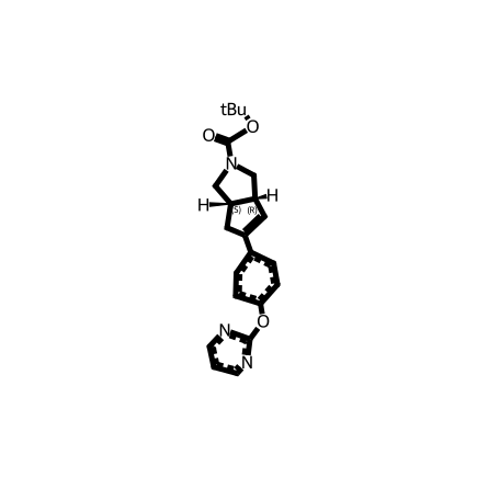 CC(C)(C)OC(=O)N1C[C@H]2CC(c3ccc(Oc4ncccn4)cc3)=C[C@H]2C1